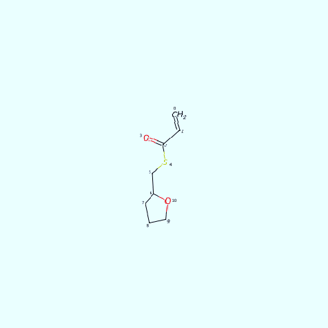 C=CC(=O)SCC1CCCO1